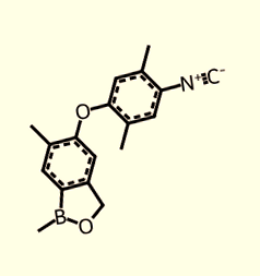 [C-]#[N+]c1cc(C)c(Oc2cc3c(cc2C)B(C)OC3)cc1C